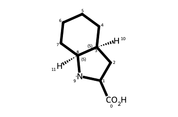 O=C(O)C1C[C@@H]2CCCC[C@@H]2[N]1